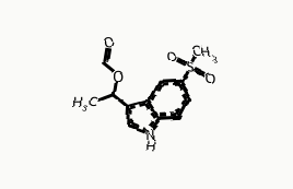 CC(OC=O)c1c[nH]c2ccc(S(C)(=O)=O)cc12